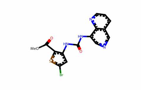 COC(=O)c1sc(Br)cc1NC(=O)Nc1cncc2cccnc12